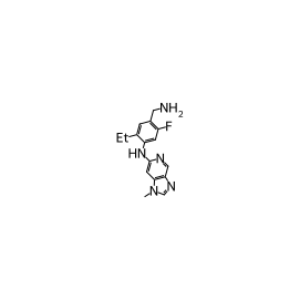 CCc1cc(CN)c(F)cc1Nc1cc2c(cn1)ncn2C